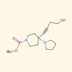 CC(C)(C)OC(=O)N1CCC(C#CCCO)(N2CCCC2)CC1